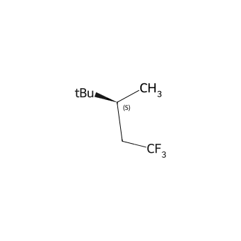 C[C@@H](CC(F)(F)F)C(C)(C)C